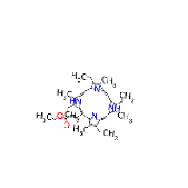 CCOC(=O)C=Cc1c2nc(cc3[nH]c(cc4nc(cc5[nH]c1c(CC)c5C)C(CC)=C4C)c(CC)c3C)C(CC)=C2C